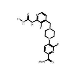 CCNC(=O)Nc1nccc(CN2CCN(c3ccc(C(=O)NC)nc3F)CC2)c1F